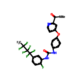 CNC(=O)c1cc(Oc2ccc(NC(=O)Nc3cc(C(F)(F)C(F)(F)C(F)(F)C(F)(F)F)ccc3F)cc2)ccn1